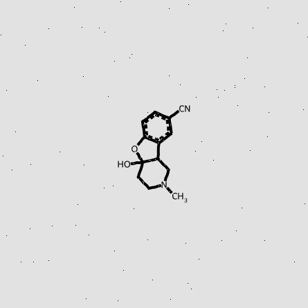 CN1CCC2(O)Oc3ccc(C#N)cc3C2C1